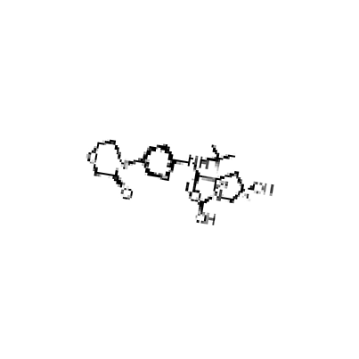 CC(C)(C)[C@@]1(C(=O)Nc2ccc(N3CCOCC3=O)cc2)C[C@@H](O)CN1C(=O)O